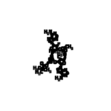 COP1(=O)OCC2O[C@@H](n3cnc4c(N)ncnc43)C(OP(=O)(OCOC(=O)C(C)(C)C)OC[C@H]3OC(n4cnc5c(N)ncnc54)C(F)C3O1)C2C